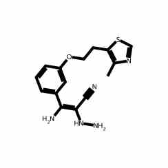 Cc1ncsc1CCOc1cccc(/C(N)=C(\C#N)NN)c1